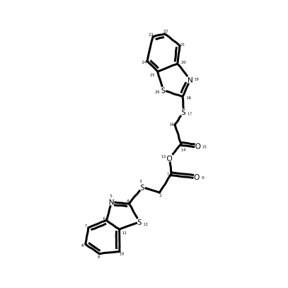 O=C(CSc1nc2ccccc2s1)OC(=O)CSc1nc2ccccc2s1